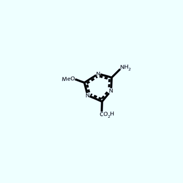 COc1nc(N)nc(C(=O)O)n1